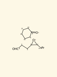 CCCC1OC1CCC=O.O=C1CCCCC1